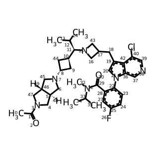 CC(=O)N1C[C@@H]2CN([C@H]3C[C@H]([C@@H](C(C)C)N4CC(Cc5cn(-c6ccc(F)cc6C(=O)N(C)C(C)C)c6cncc(Cl)c56)C4)C3)C[C@H]2C1